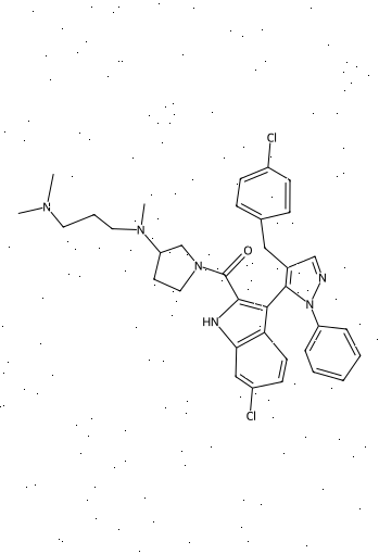 CN(C)CCCN(C)C1CCN(C(=O)c2[nH]c3cc(Cl)ccc3c2-c2c(Cc3ccc(Cl)cc3)cnn2-c2ccccc2)C1